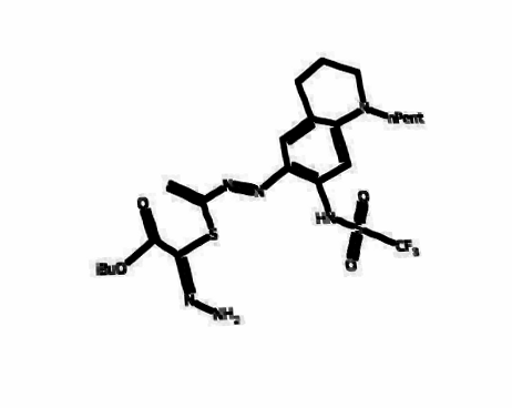 C=C(N=Nc1cc2c(cc1NS(=O)(=O)C(F)(F)F)N(CCCCC)CCC2)S/C(=N\N)C(=O)OCC(C)C